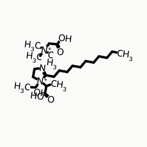 CCCCCCCCCCCC1=NCC[N+]1(C(C)O)C(C)C(=O)O.C[N+](C)(C)CC(=O)O